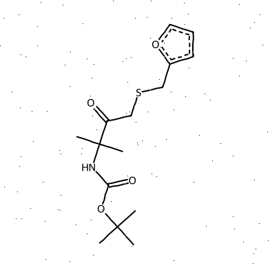 CC(C)(C)OC(=O)NC(C)(C)C(=O)CSCc1ccco1